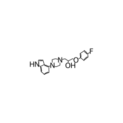 OC(COc1ccc(F)cc1)CN1CCN(c2cccc3[nH]ccc23)CC1